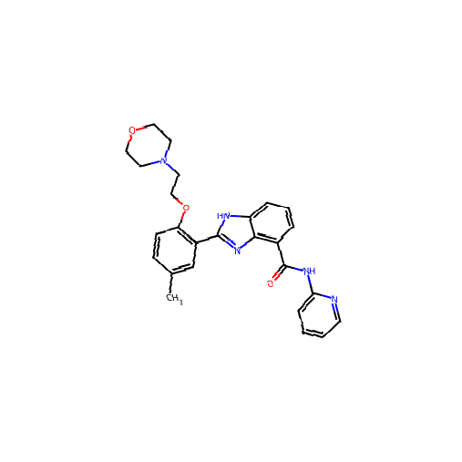 Cc1ccc(OCCN2CCOCC2)c(-c2nc3c(C(=O)Nc4ccccn4)cccc3[nH]2)c1